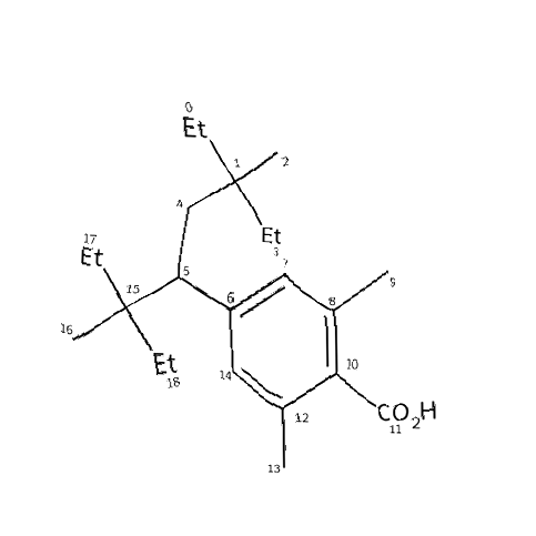 CCC(C)(CC)CC(c1cc(C)c(C(=O)O)c(C)c1)C(C)(CC)CC